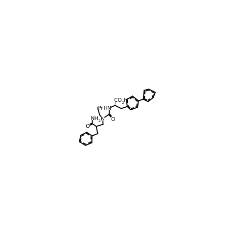 CC(C)CN(CC(Cc1ccccc1)C(N)=O)C(=O)N[C@@H](Cc1ccc(-c2ccccc2)cc1)C(=O)O